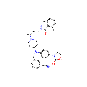 Cc1cccc(C)c1C(=O)NCCC(C)N1CCC(N(Cc2cccc(C#N)c2)c2ccc(N3CCOC3=O)cc2)CC1